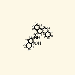 Oc1c(NCc2cc3c4ccccc4ccc3c3ccccc23)ccc2c1CCCC2